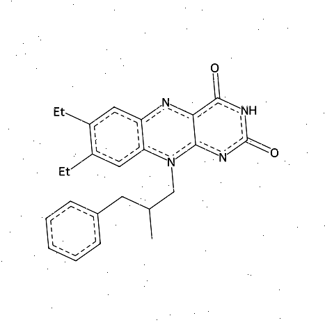 CCc1cc2nc3c(=O)[nH]c(=O)nc-3n(CC(C)Cc3ccccc3)c2cc1CC